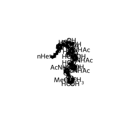 CCCCCC/C=C\CCCOc1cccc(C(=O)NC2C(O[C@@H]3C(CO)OC(OC4C(CO)O[C@@H](OCC5(CO)CC(O)C(NC(C)=O)[C@H](OC6C(CO[C@@H]7OC(C)C(O)C(O)C7OC)OC[C@@H](NC(C)=O)[C@H]6O)O5)[C@@H](NC(C)=O)[C@H]4O)C(NC(C)=O)C3O)OC(CO)[C@@H](O)C2O)c1